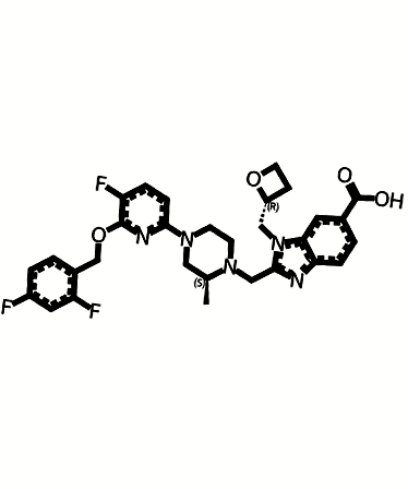 C[C@H]1CN(c2ccc(F)c(OCc3ccc(F)cc3F)n2)CCN1Cc1nc2ccc(C(=O)O)cc2n1C[C@H]1CCO1